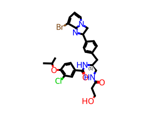 CC(C)Oc1ccc(C(=O)N[C@H](CNC(=O)CCO)Cc2ccc(C3CN4C=CC=C(Br)C4=N3)cc2)cc1Cl